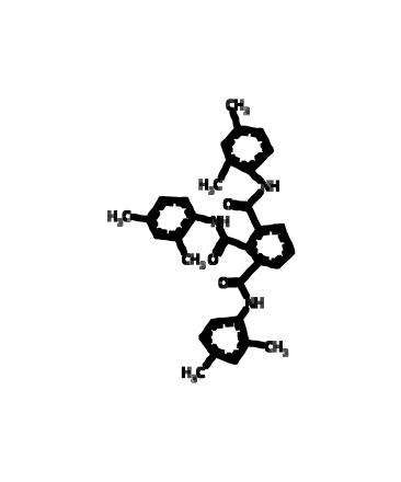 Cc1ccc(NC(=O)c2cccc(C(=O)Nc3ccc(C)cc3C)c2C(=O)Nc2ccc(C)cc2C)c(C)c1